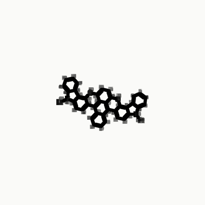 CCn1c2ccccc2c2c3c(ccc21)-c1c2ccccc2c2c4c(ccc(c14)O3)Oc1c-2ccc2c1c1ccccc1n2CC